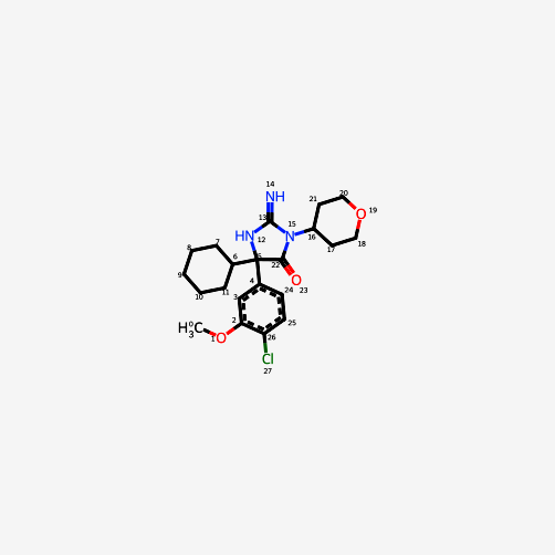 COc1cc(C2(C3CCCCC3)NC(=N)N(C3CCOCC3)C2=O)ccc1Cl